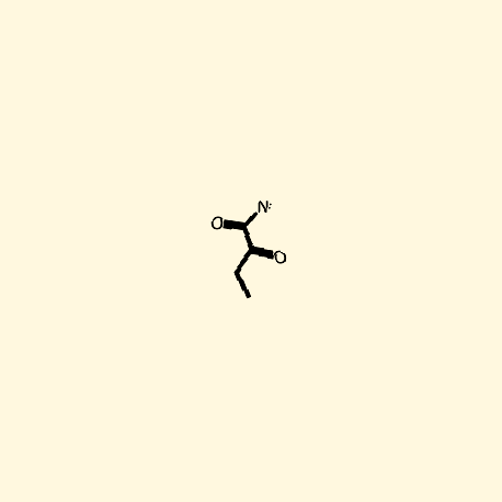 CCC(=O)C([N])=O